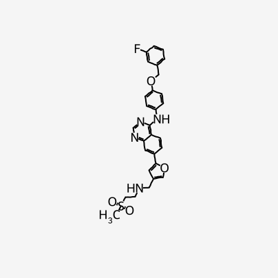 CS(=O)(=O)CCNCc1coc(-c2ccc3c(Nc4ccc(OCc5cccc(F)c5)cc4)ncnc3c2)c1